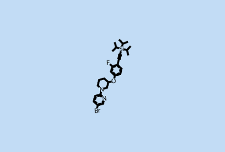 CC(C)[Si](C#Cc1ccc(OC2CCCN(c3ccc(Br)cn3)C2)cc1F)(C(C)C)C(C)C